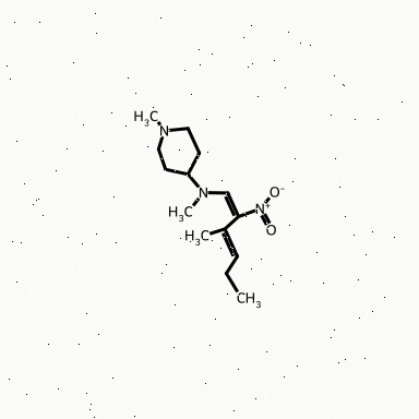 CC/C=C(C)/C(=C\N(C)C1CCN(C)CC1)[N+](=O)[O-]